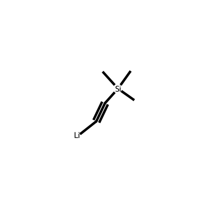 [Li][C]#C[Si](C)(C)C